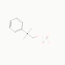 CC(C)(CO[Se](=O)(=O)O)c1ccccc1